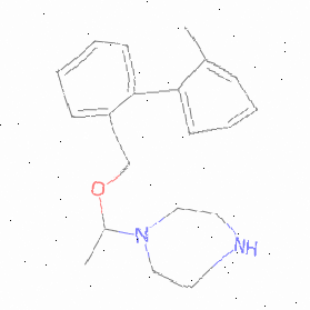 Cc1ccccc1-c1ccccc1COC(C)N1CCNCC1